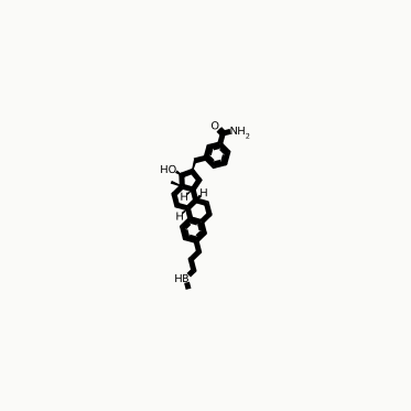 CBCCCc1ccc2c(c1)CC[C@@H]1[C@@H]2CC[C@]2(C)[C@@H](O)[C@@H](Cc3cccc(C(N)=O)c3)C[C@@H]12